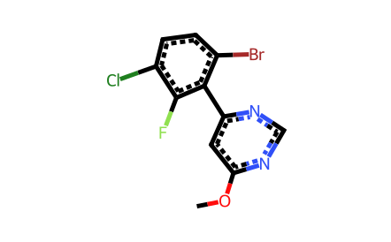 COc1cc(-c2c(Br)ccc(Cl)c2F)ncn1